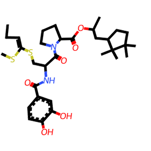 CC/C=C(\SC)SCC(NC(=O)c1ccc(O)c(O)c1)C(=O)N1CCCC1C(=O)OC(C)CC1CCC(C)(C)C1(C)C